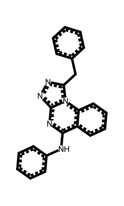 c1ccc(Cc2nnc3nc(Nc4ccccc4)c4ccccc4n23)cc1